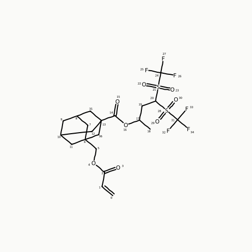 C=CC(=O)OCC12CC3CC(C1)CC(C(=O)OC(C)CC(S(=O)(=O)C(F)(F)F)S(=O)(=O)C(F)(F)F)(C3)C2